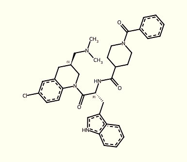 CN(C)C[C@@H]1Cc2cc(Cl)ccc2N(C(=O)[C@@H](Cc2c[nH]c3ccccc23)NC(=O)C2CCN(C(=O)c3ccccc3)CC2)C1